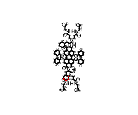 O=C(CCN(CCC(=O)NCC1CO1)C(=O)C(CC1CCCCC1)N1C(=O)c2cc(Oc3ccccc3)c3c4c(Oc5ccccc5)cc5c6c(cc(Oc7ccccc7)c(c7c(Oc8ccccc8)cc(c2c37)C1=O)c64)C(=O)N(C(CC1CCCCC1)C(=O)N(CCC(=O)NCC1CO1)CCC(=O)NCC1CO1)C5=O)NCC1CO1